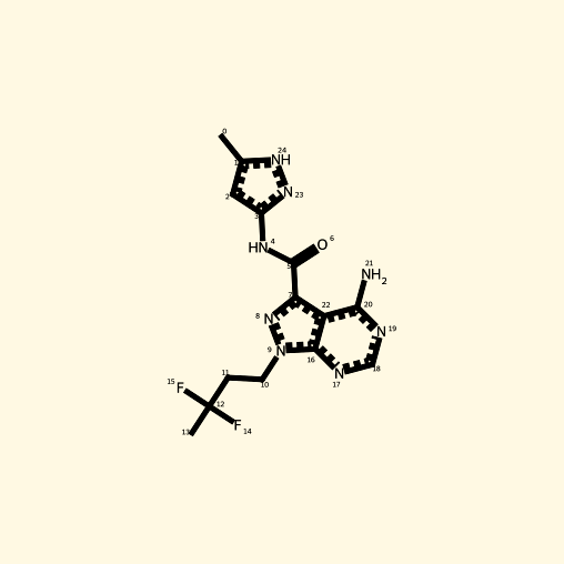 Cc1cc(NC(=O)c2nn(CCC(C)(F)F)c3ncnc(N)c23)n[nH]1